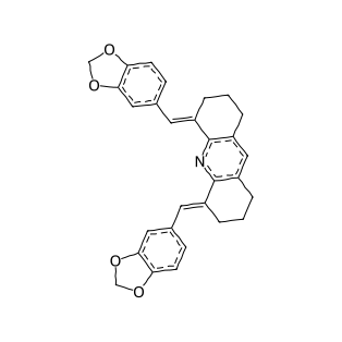 C(=C1CCCc2cc3c(nc21)C(=Cc1ccc2c(c1)OCO2)CCC3)c1ccc2c(c1)OCO2